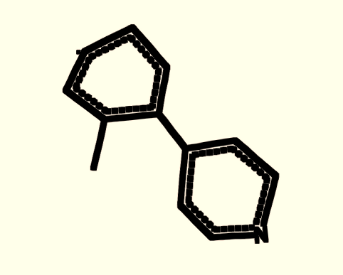 Cc1c[c]ccc1-c1ccncc1